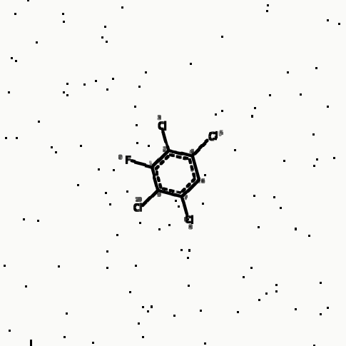 Fc1c(Cl)c(Cl)[c]c(Cl)c1Cl